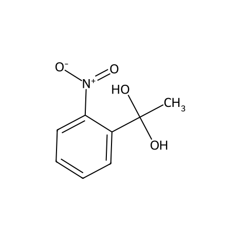 CC(O)(O)c1ccccc1[N+](=O)[O-]